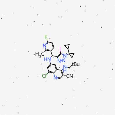 Cc1nc(F)ccc1C(Nc1cc(Cl)c2ncc(C#N)c(NCC(C)(C)C)c2c1)c1nnn(C2(C3CC3)CC2)c1I